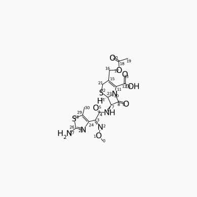 CON=C(C(=O)N[C@@H]1C(=O)N2C(C(=O)O)=C(COC(C)=O)CS[C@H]12)c1nc(N)sc1C